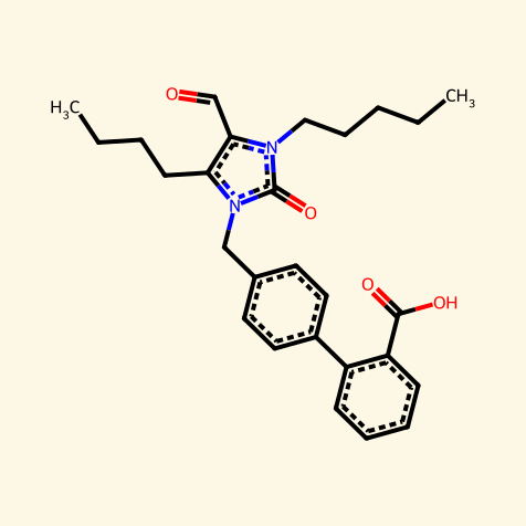 CCCCCn1c(C=O)c(CCCC)n(Cc2ccc(-c3ccccc3C(=O)O)cc2)c1=O